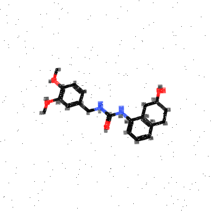 COc1ccc(CNC(=O)Nc2cccc3c2CC(O)CC3)cc1OC